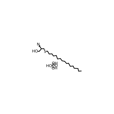 CCCCCCCCCCCCCCCCCSCC(C#N)CO.O=P(O)(O)O